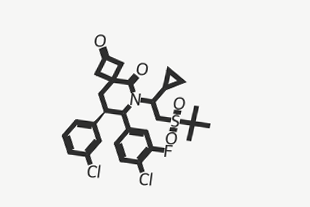 CC(C)(C)S(=O)(=O)CC(C1CC1)N1C(=O)C2(CC(=O)C2)C[C@H](c2cccc(Cl)c2)C1c1ccc(Cl)c(F)c1